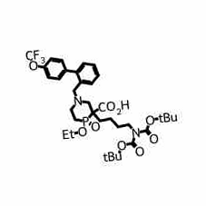 CCOP1(=O)CCN(Cc2ccccc2-c2ccc(OC(F)(F)F)cc2)CC1(CCCCN(C(=O)OC(C)(C)C)C(=O)OC(C)(C)C)C(=O)O